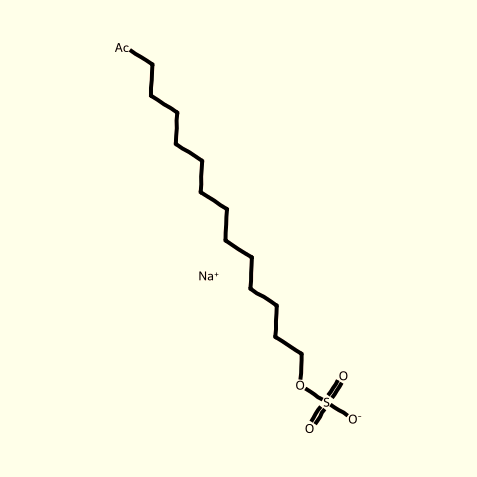 CC(=O)CCCCCCCCCCCCCOS(=O)(=O)[O-].[Na+]